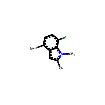 COc1ccc(F)c2c1cc(C#N)n2C